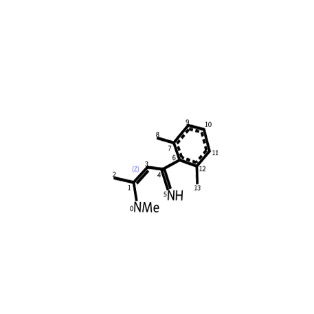 CN/C(C)=C\C(=N)c1c(C)cccc1C